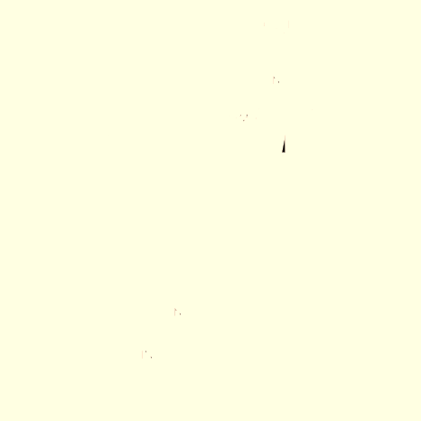 COc1c(CC2CC2)cccc1[C@H](C(=O)O)N1CC[C@@H](OCCCCCc2ccc3c(n2)NCCC3)C1